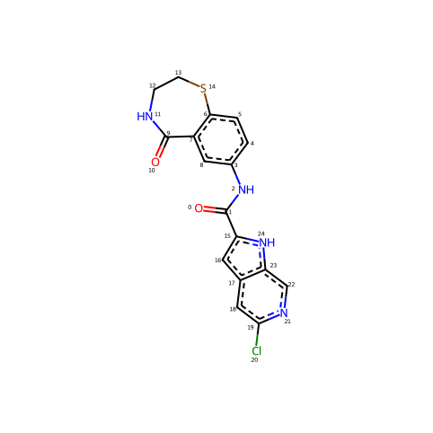 O=C(Nc1ccc2c(c1)C(=O)NCCS2)c1cc2cc(Cl)ncc2[nH]1